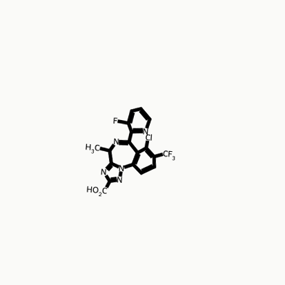 CC1N=C(c2ncccc2F)c2c(ccc(C(F)(F)F)c2Cl)-n2nc(C(=O)O)nc21